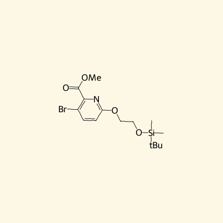 COC(=O)c1nc(OCCO[Si](C)(C)C(C)(C)C)ccc1Br